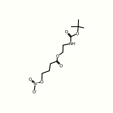 CC(C)(C)OC(=O)NCCOC(=O)CCCO[N+](=O)[O-]